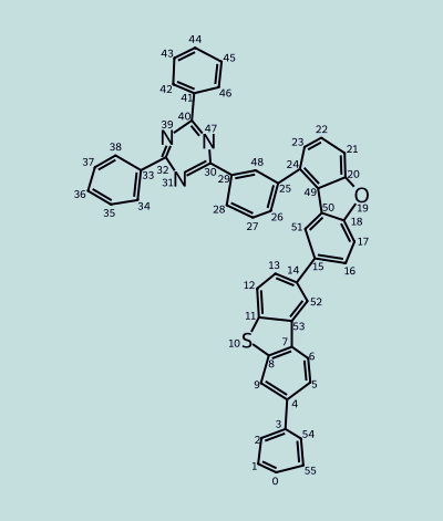 c1ccc(-c2ccc3c(c2)sc2ccc(-c4ccc5oc6cccc(-c7cccc(-c8nc(-c9ccccc9)nc(-c9ccccc9)n8)c7)c6c5c4)cc23)cc1